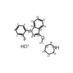 Cl.Fc1ccccc1-n1nc(OC[C@H]2CCCNC2)c2ccccc21